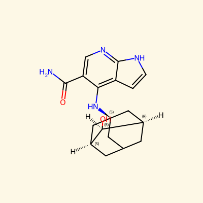 NC(=O)c1cnc2[nH]ccc2c1N[C@]12CC3C[C@H](C1)[C@H](O)[C@@H](C3)C2